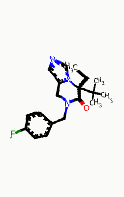 CCC1(C(C)(C)C)C(=O)N(Cc2ccc(F)cc2)Cc2cncn21